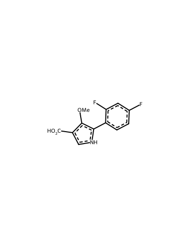 COc1c(C(=O)O)c[nH]c1-c1ccc(F)cc1F